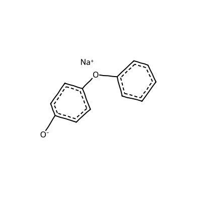 [Na+].[O-]c1ccc(Oc2ccccc2)cc1